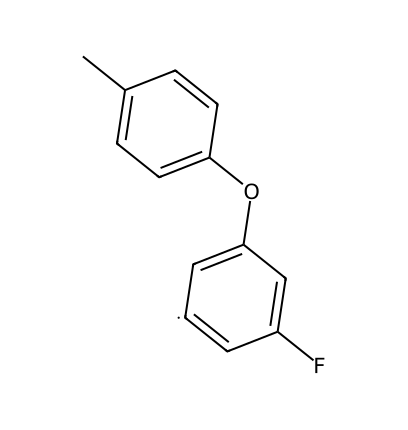 Cc1ccc(Oc2c[c]cc(F)c2)cc1